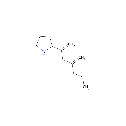 C=C(CCC)CC(=C)C1CCCN1